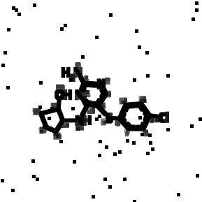 Nc1ncc(Sc2ccc(Cl)cc2)c(NC2CCCC2O)n1